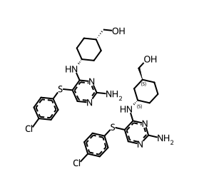 Nc1ncc(Sc2ccc(Cl)cc2)c(N[C@H]2CCC[C@H](CO)C2)n1.Nc1ncc(Sc2ccc(Cl)cc2)c(N[C@H]2CC[C@@H](CO)CC2)n1